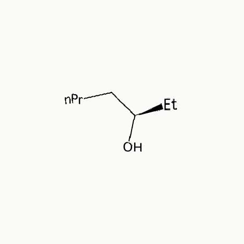 CCCC[C@H](O)CC